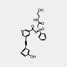 O=C(C[S@@](=O)(=NC(=O)c1cncc(C#Cc2cccc(O)c2)c1)c1ccccc1)NCCO